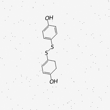 OC1=CC=C(SSc2ccc(O)cc2)CC1